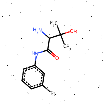 CCc1cccc(NC(=O)C(N)C(O)(C(F)(F)F)C(F)(F)F)c1